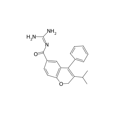 CC(C)C1=C(c2ccccc2)c2cc(C(=O)N=C(N)N)ccc2OC1